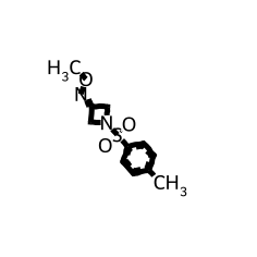 CON=C1CN(S(=O)(=O)c2ccc(C)cc2)C1